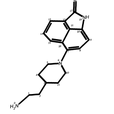 NCCC1CCN(c2ccc3c4c(cccc24)C(=O)N3)CC1